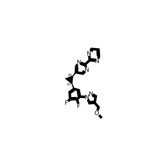 COCc1cnn(-c2cc([C@H]3C[C@H]3c3cnc(-c4ncccn4)nc3)cc(F)c2F)c1